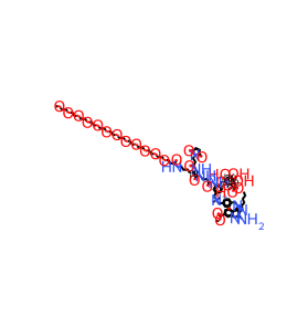 CCCCc1nc2c(N)nc3cc(C(=O)OC)ccc3c2n1Cc1ccc(C[N+](C)(C)Cc2ccc(O[C@@H]3O[C@H](C(=O)O)[C@@H](O)[C@H](O)[C@H]3O)c(NC(=O)CCNC(=O)[C@H](CCCCNC(=O)CCOCCOCCOCCOCCOCCOCCOCCOCCOCCOCCOCCOC)NC(=O)CCN3C(=O)C=CC3=O)c2)cc1